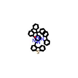 CC1C=CC=CC1C(c1ccccc1)(c1ccccc1)c1ccccc1-c1nc(-c2cccc3sc4ccccc4c23)nc(-n2c3ccccc3c3ccccc32)n1